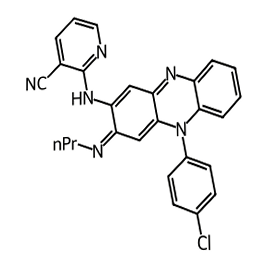 CCCN=c1cc2n(-c3ccc(Cl)cc3)c3ccccc3nc-2cc1Nc1ncccc1C#N